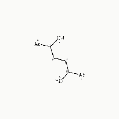 CC(=O)C(O)CCC(O)C(C)=O